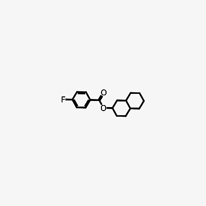 O=C(OC1CCC2CCCCC2C1)c1ccc(F)cc1